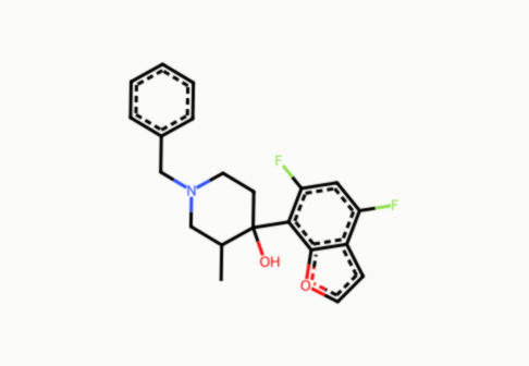 CC1CN(Cc2ccccc2)CCC1(O)c1c(F)cc(F)c2ccoc12